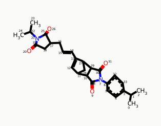 CC(C)c1ccc(N2C(=O)C3C4C=C(/C=C/CC5CC(=O)N(C(C)C)C5=O)C(C4)C3C2=O)cc1